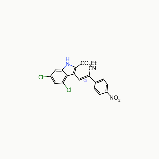 CCOC(=O)c1[nH]c2cc(Cl)cc(Cl)c2c1/C=C(\C#N)c1ccc([N+](=O)[O-])cc1